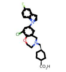 O=C(O)[C@H]1CC[C@@H](CN2CCOc3c(Cl)cc(-n4ccc5cc(F)ccc54)cc3C2)CC1